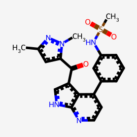 Cc1cc(C(=O)c2c[nH]c3nccc(-c4cccc(NS(C)(=O)=O)c4)c23)n(C)n1